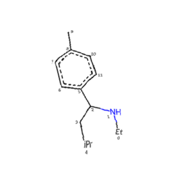 CCNC(CC(C)C)c1ccc(C)cc1